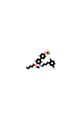 C=CN(CCCCc1cc(C)ccc1C)c1cc(-c2ccc(OC(F)(F)F)cc2)ccc1OCCCCC